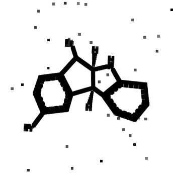 CCC1c2ccc(C(C)C)cc2[C@@H]2c3ccccc3N[C@H]12